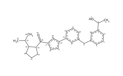 CC(O)c1cccc(Cc2cccc(-c3ccc(C(=O)C4CCCC4C(C)C)s3)c2)c1